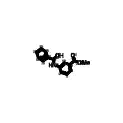 COC(=O)c1cccc(NC(O)C2CC3C=CC2C3)c1